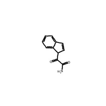 NC(=O)C(=O)C1C=Cc2ccccc21